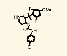 COc1cc(F)c(C(C)(C)C2CNCCC2NC(=O)Nc2ccc(Cl)cc2)c(F)c1